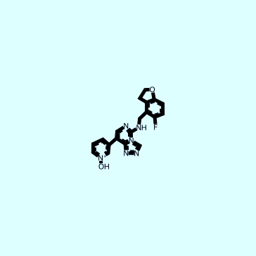 O[n+]1cccc(-c2cnc(NCc3c(F)ccc4c3CCO4)n3cnnc23)c1